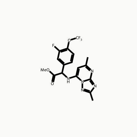 COC(=O)C(Nc1cc(C)nc2nc(C)nn12)c1ccc(OC(F)(F)F)c(F)c1